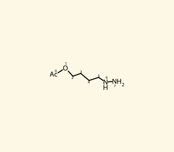 CC(=O)OCCCCNN